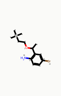 CC(OCC[Si](C)(C)C)c1cc(Br)ccc1N